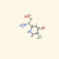 NC(CO)c1cc(Br)c(Cl)cn1